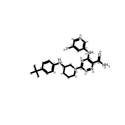 CC(C)(C)c1ccc(NC2CCCN(c3nnc(C(N)=O)c(Nc4cncc(F)c4)n3)C2)cc1